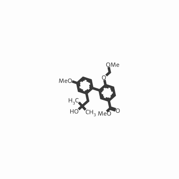 COCOc1ccc(C(=O)OC)cc1-c1ccc(OC)cc1CC(C)(C)O